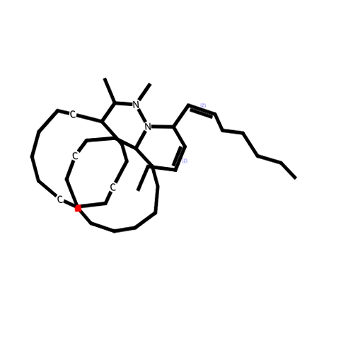 CC/C=C\C(/C=C\CCCCC)N(C1CCCCCCCCCCC1)N(C)C(C)C1CCCCCCCCCCC1